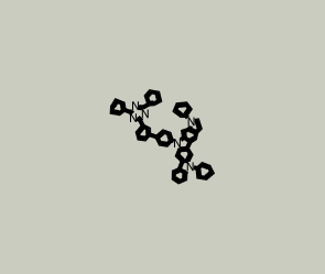 c1ccc(-c2nc(-c3ccccc3)nc(-c3cccc(-c4ccc(-n5c6cc7c8ccccc8n(-c8ccccc8)c7cc6c6cc7ccn(-c8ccccc8)c7cc65)cc4)c3)n2)cc1